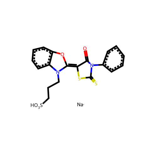 O=C1C(=C2Oc3ccccc3N2CCCS(=O)(=O)O)SC(=S)N1c1ccccc1.[Na]